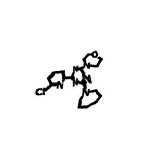 Clc1cccc(-c2nc(N3CCCCCC3)nc(N3CCOCC3)n2)n1